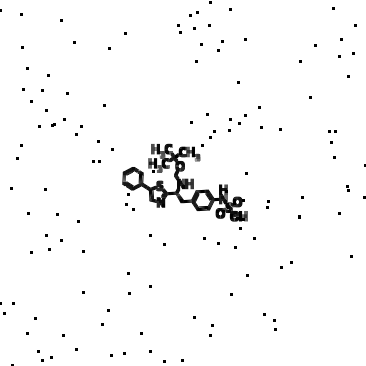 CC(C)(C)OCN[C@@H](Cc1ccc(NS(=O)(=O)O)cc1)c1ncc(-c2ccccc2)s1